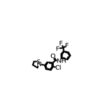 O=C(Nc1cccc(C(F)(F)F)c1)c1cc(N2CCCS2)ccc1Cl